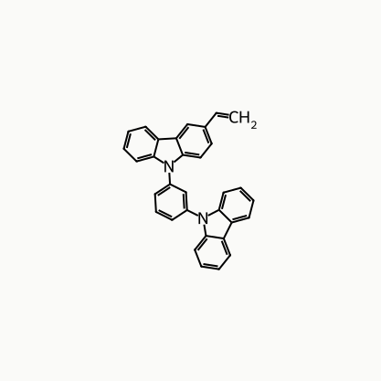 C=Cc1ccc2c(c1)c1ccccc1n2-c1cccc(-n2c3ccccc3c3ccccc32)c1